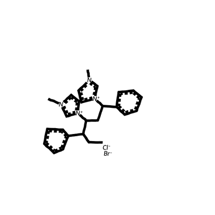 CCC(c1ccccc1)C(CC(c1ccccc1)[n+]1ccn(C)c1)[n+]1ccn(C)c1.[Br-].[Cl-]